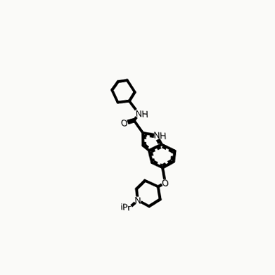 CC(C)N1CCC(Oc2ccc3[nH]c(C(=O)NC4CCCCC4)cc3c2)CC1